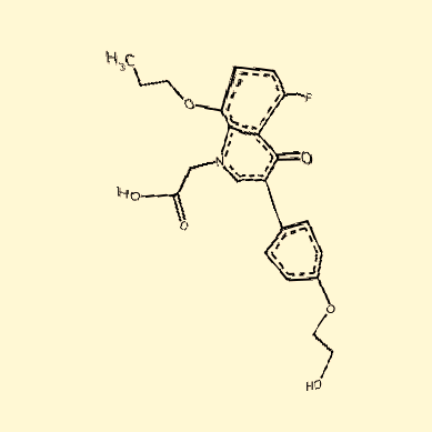 CCCOc1ccc(F)c2c(=O)c(-c3ccc(OCCO)cc3)cn(CC(=O)O)c12